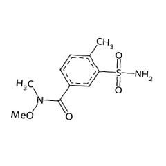 CON(C)C(=O)c1ccc(C)c(S(N)(=O)=O)c1